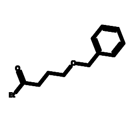 CCC(=O)CCCOCc1ccccc1